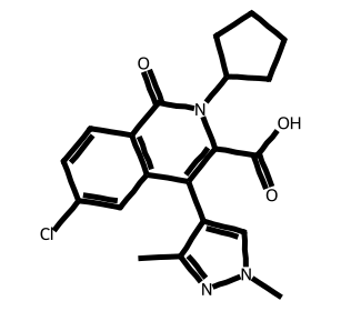 Cc1nn(C)cc1-c1c(C(=O)O)n(C2CCCC2)c(=O)c2ccc(Cl)cc12